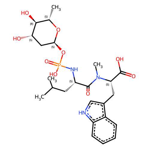 CC(C)C[C@H](NP(=O)(O)O[C@H]1C[C@H](O)[C@@H](O)[C@H](C)O1)C(=O)N(C)[C@@H](Cc1c[nH]c2ccccc12)C(=O)O